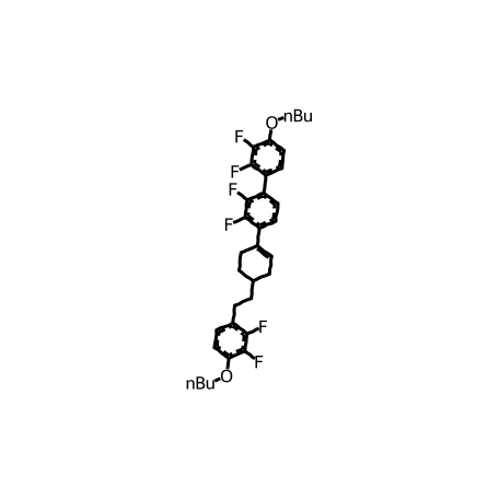 CCCCOc1ccc(CCC2CC=C(c3ccc(-c4ccc(OCCCC)c(F)c4F)c(F)c3F)CC2)c(F)c1F